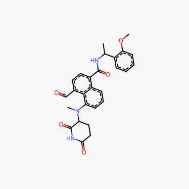 COc1ccccc1C(C)NC(=O)c1ccc(C=O)c2c(N(C)C3CCC(=O)NC3=O)cccc12